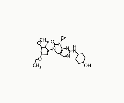 CCOc1cc(OC)c(F)c(N2Cc3cnc(NC4CCC(O)CC4)nc3N(C3CC3)C2=O)c1